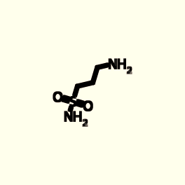 NCCCS(N)(=O)=O